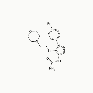 CC(C)c1ccc(-n2ncc(NC(N)=O)c2OCCN2CCOCC2)cc1